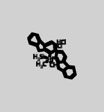 Cl.Cl.[CH3][Hf]([CH3])([SiH3])([c]1cccc2c1Cc1ccccc1-2)[c]1cccc2c1Cc1ccccc1-2